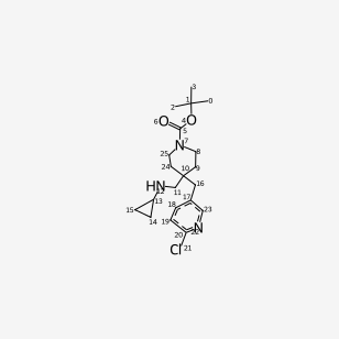 CC(C)(C)OC(=O)N1CCC(CNC2CC2)(Cc2ccc(Cl)nc2)CC1